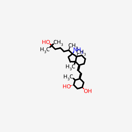 CC1/C(=C\C=C2/CCC[C@@]3(C)C2(C)CC[C@]3(N)[C@H](C)CCCC(C)(C)O)C[C@@H](O)C[C@@H]1O